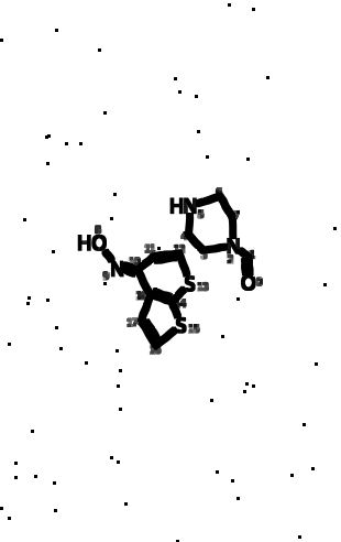 O=CN1CCNCC1.ON=c1ccsc2sccc12